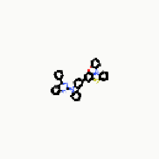 c1ccc(-c2nc(-n3c4ccccc4c4cc(-c5cc6c7c(c5)Sc5ccccc5N7c5ccccc5O6)ccc43)nc3ccccc23)cc1